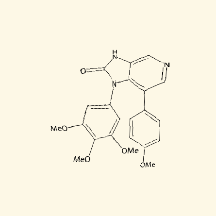 COc1ccc(-c2cncc3[nH]c(=O)n(-c4cc(OC)c(OC)c(OC)c4)c23)cc1